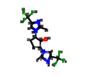 Cc1nc(C(F)(F)F)cn1C1CCC(n2cc(C(F)(F)F)nc2C)C1=O